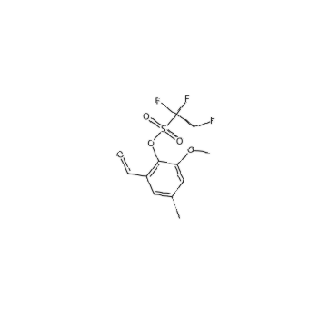 COc1cc(C)cc(C=O)c1OS(=O)(=O)C(F)(F)CF